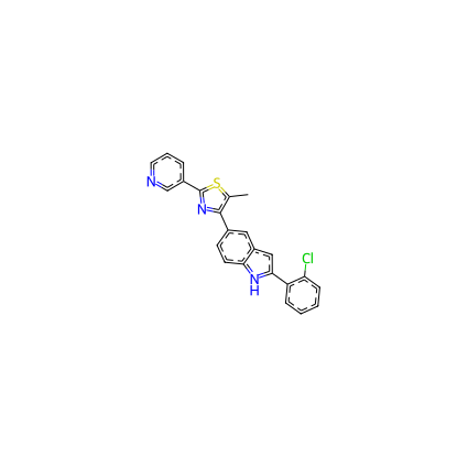 Cc1sc(-c2cccnc2)nc1-c1ccc2[nH]c(-c3ccccc3Cl)cc2c1